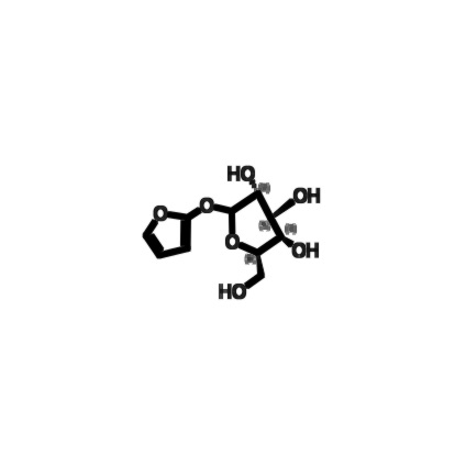 OC[C@H]1OC(Oc2ccco2)[C@H](O)[C@@H](O)[C@H]1O